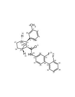 Cc1ccnc([C@H]2[C@@H](C(=O)Nc3ccc(-c4ccccc4F)c(F)c3)[C@@H]3CC[C@@H]2O3)c1